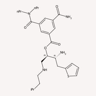 CCCN(CCC)C(=O)c1cc(C(N)=O)cc(C(=O)O[C@H](CNCCC(C)C)[C@H](N)Cc2cccs2)c1